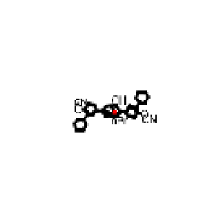 CCCC12CC3(C)CC(c4ccc(OC#N)c(C5CCCCC5)c4)(C1)CC(c1ccc(OC#N)c(C4CCCCC4)c1)(C3)C2